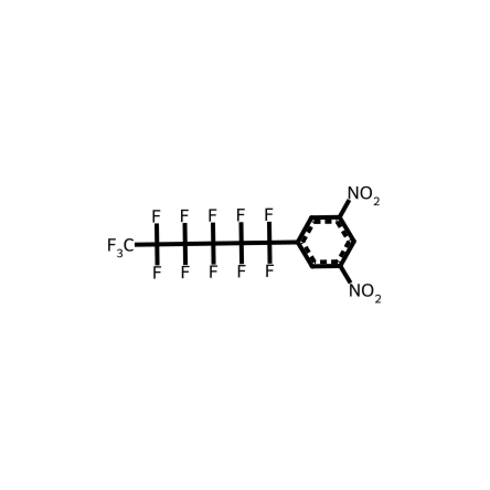 O=[N+]([O-])c1cc([N+](=O)[O-])cc(C(F)(F)C(F)(F)C(F)(F)C(F)(F)C(F)(F)C(F)(F)F)c1